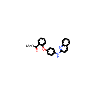 COC(=O)c1ccccc1Oc1ccc(Nc2ccc3ccccc3n2)cc1